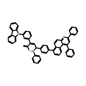 C=C(I)/C(=C\C(Nc1ccccc1)c1ccc(-c2cccc3c2ccc2nc(-c4ccccc4)cc(-c4ccccc4)c23)cc1)c1cccc(-n2c3ccccc3c3ccccc32)c1